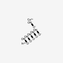 O=N[O-].O=N[O-].O=N[O-].O=N[O-].O=N[O-].O=N[O-].[Ga+3].[In+3]